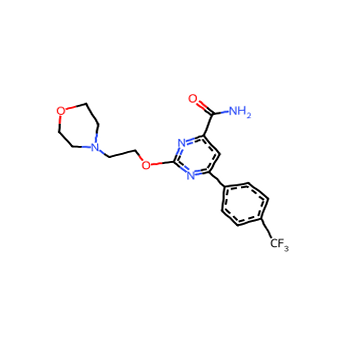 NC(=O)c1cc(-c2ccc(C(F)(F)F)cc2)nc(OCCN2CCOCC2)n1